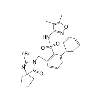 CCCCC1=NC2(CCCC2)C(=O)N1Cc1cccc(-c2ccccc2)c1S(=O)(=O)Nc1noc(C)c1C